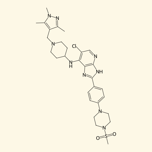 Cc1nn(C)c(C)c1CN1CCC(Nc2c(Cl)cnc3[nH]c(-c4ccc(N5CCN(S(C)(=O)=O)CC5)cc4)nc23)CC1